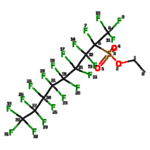 CCOS(=O)(=O)C(F)(C(F)(F)F)C(F)(F)C(F)(F)C(F)(F)C(F)(F)C(F)(F)C(F)(F)C(F)(F)F